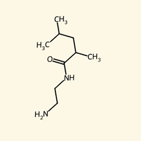 CC(C)CC(C)C(=O)NCCN